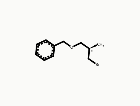 C[C@@H](CBr)COCc1ccccc1